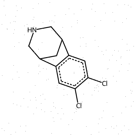 Clc1cc2c(cc1Cl)C1CNCC2C1